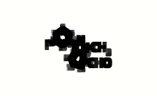 Cn1nc(-c2cccc(F)c2)c2cccc(C=O)c21